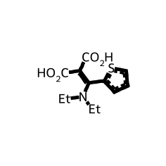 CCN(CC)C(=C(C(=O)O)C(=O)O)c1cccs1